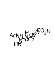 CC(=O)N/C(=N/C=N)c1ccc(C2O[C@H](COC(=O)O)CS2)[nH]1